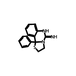 N=C1Nc2ccccc2C2(c3ccccc3)SCCN12